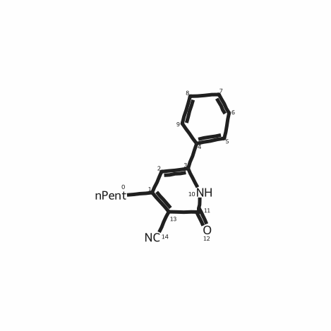 CCCCCc1cc(-c2ccccc2)[nH]c(=O)c1C#N